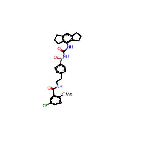 COc1ccc(Cl)cc1C(=O)NCCc1ccc([S+]([O-])NC(=O)Nc2c3c(cc4c2CCC4)CCC3)cc1